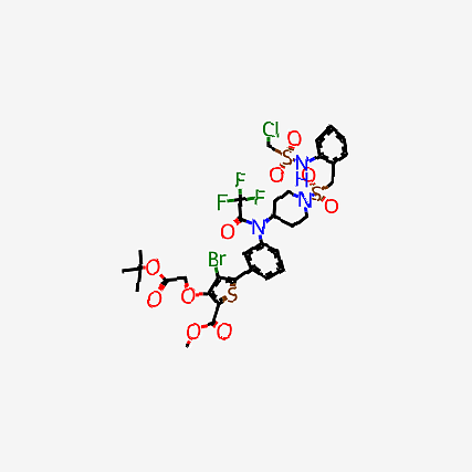 COC(=O)c1sc(-c2cccc(N(C(=O)C(F)(F)F)C3CCN(S(=O)(=O)Cc4ccccc4NS(=O)(=O)CCl)CC3)c2)c(Br)c1OCC(=O)OC(C)(C)C